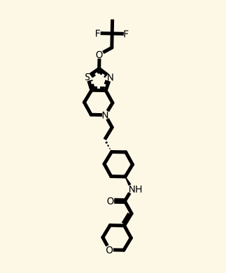 CC(F)(F)COc1nc2c(s1)CCN(CC[C@H]1CC[C@H](NC(=O)C=C3CCOCC3)CC1)C2